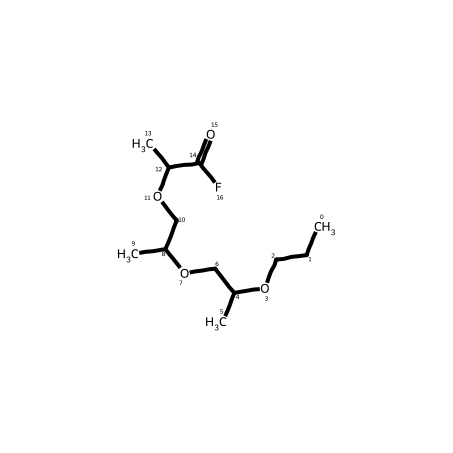 CCCOC(C)COC(C)COC(C)C(=O)F